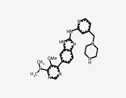 COc1c(-c2ccc3nc(Nc4cc(CN5CCNCC5)ccn4)[nH]c3c2)ncnc1N(C)C